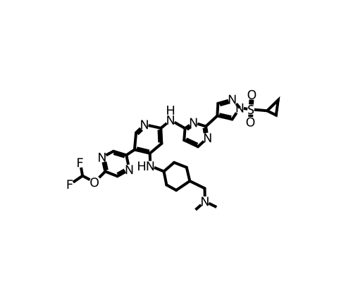 CN(C)CC1CCC(Nc2cc(Nc3ccnc(-c4cnn(S(=O)(=O)C5CC5)c4)n3)ncc2-c2cnc(OC(F)F)cn2)CC1